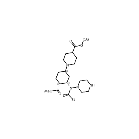 CCC(=O)N([C@H]1C[C@H](N2CCC(C(=O)OC(C)(C)C)CC2)CC[C@H]1C(=O)OC)N1CCNCC1